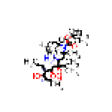 C=C/C=C(O)\C(=C/C=C)C(=O)CC(O)(C(C)C)C(N)CC(C)(C)N(C(=O)OC(C)(C)C)C(C)(C)CC